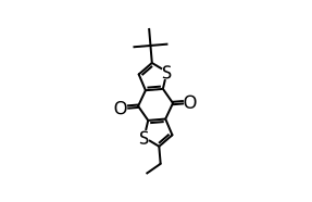 CCc1cc2c(s1)C(=O)c1cc(C(C)(C)C)sc1C2=O